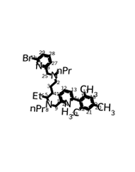 CCCN(CCCC(CC)N(CCC)Cc1cccc(-c2c(C)cc(C)cc2C)n1)Cc1cccc(Br)n1